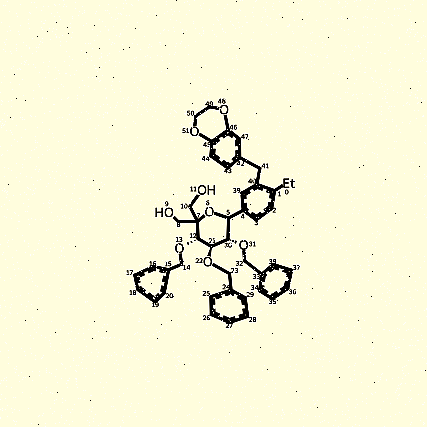 CCc1ccc(C2OC(CO)(CO)[C@@H](OCc3ccccc3)[C@H](OCc3ccccc3)[C@H]2OCc2ccccc2)cc1Cc1ccc2c(c1)OCCO2